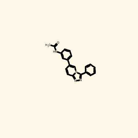 CC(=O)Nc1cccc(-c2ccc3nnc(-c4ccccc4)n3c2)c1